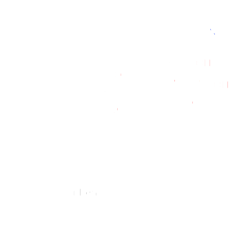 CCCCC/C=C\C/C=C\C/C=C\CCCCC(=O)OCCC(CCN)OP(=O)(O)O